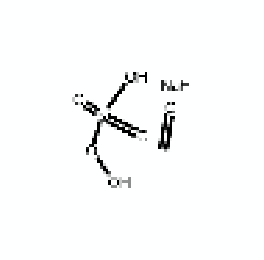 C=O.O=S(=O)(O)OO.[NaH]